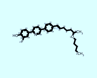 CCCCCOC(C)CCC/C=C/c1ccc(-c2ccc(-c3ccc(O)c(F)c3)nc2)cc1